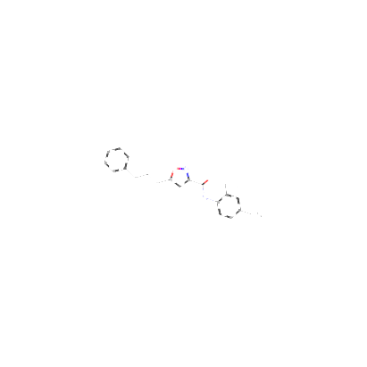 N#Cc1ccc(NC(=O)c2cc(CCCc3ccccc3)on2)c(C(=O)O)c1